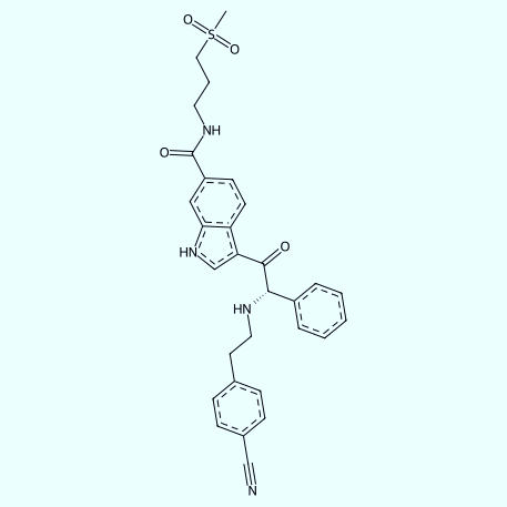 CS(=O)(=O)CCCNC(=O)c1ccc2c(C(=O)[C@@H](NCCc3ccc(C#N)cc3)c3ccccc3)c[nH]c2c1